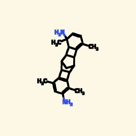 CC1=C2C3C4CC(C5c6c(C)cc(N)c(C)c6C45)C3C2C(C)(N)C=C1